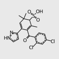 CC1=C(C(=O)c2ccc(Cl)cc2Cl)C(c2cc[nH]n2)=CC(C)(C)C1S(=O)(=O)O